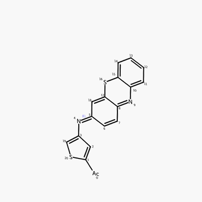 CC(=O)c1cc(/N=c2\ccc3nc4ccccc4sc-3c2)cs1